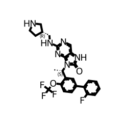 C[C@@H](c1cc(-c2ccccc2F)ccc1OC(F)(F)F)n1c(=O)[nH]c2cnc(NC[C@@H]3CCNC3)nc21